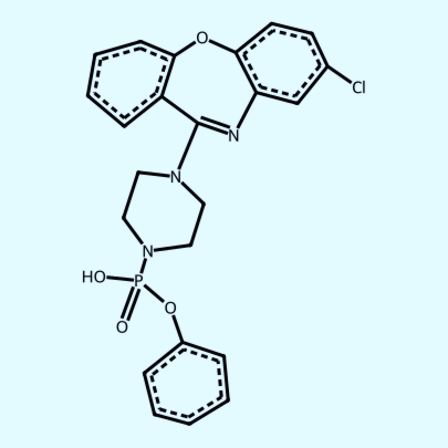 O=P(O)(Oc1ccccc1)N1CCN(C2=Nc3cc(Cl)ccc3Oc3ccccc32)CC1